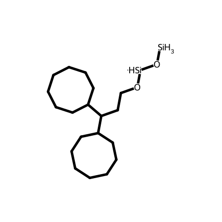 [SiH3]O[SiH]OCCC(C1CCCCCCC1)C1CCCCCCC1